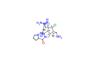 NC[C@H]1[C@H]2CN3C(=O)c4cccn4C4NC(N)=NC43[C@H]2[C@@]2(C=C(N)NC2)[C@H]1Cl